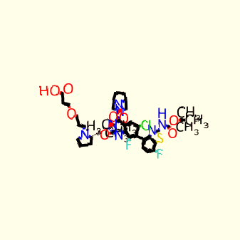 CC(C)(C)OC(=O)Nc1nc2c(-c3c(Cl)cc4c(N5CC6CCC(C5)N6C(=O)OC(C)(C)C)nc(OC[C@@H]5CCCN5CCCOCCC(=O)O)nc4c3F)ccc(F)c2s1